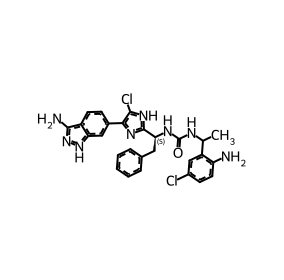 CC(NC(=O)N[C@@H](Cc1ccccc1)c1nc(-c2ccc3c(N)n[nH]c3c2)c(Cl)[nH]1)c1cc(Cl)ccc1N